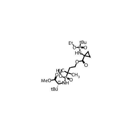 CCOP(=O)(NC1(C(=O)OCCC(C)(C)P(=O)(N[C@@H](C(=O)OC)C(C)(C)C)OCC)CC1)C(C)(C)C